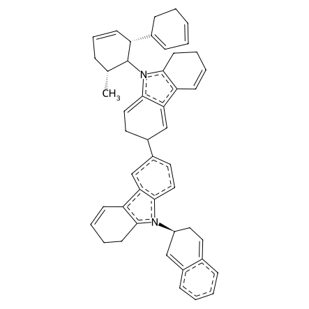 C[C@@H]1CC=C[C@H](C2=CC=CCC2)C1n1c2c(c3c1=CCC(c1ccc4c(c1)c1c(n4[C@@H]4C=c5ccccc5=CC4)CCC=C1)C=3)C=CCC2